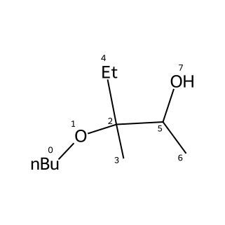 CCCCOC(C)(CC)C(C)O